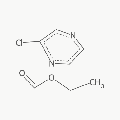 CCOC=O.Clc1cnccn1